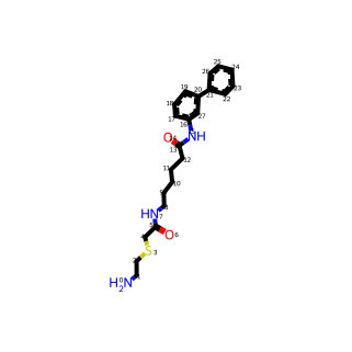 NCCSCC(=O)NCCCCCC(=O)Nc1cccc(-c2ccccc2)c1